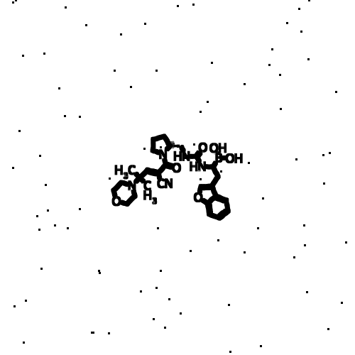 CC(C)(C=C(C#N)C(=O)N1CCC[C@@H]1CNC(=O)NC(Cc1coc2ccccc12)B(O)O)N1CCOCC1